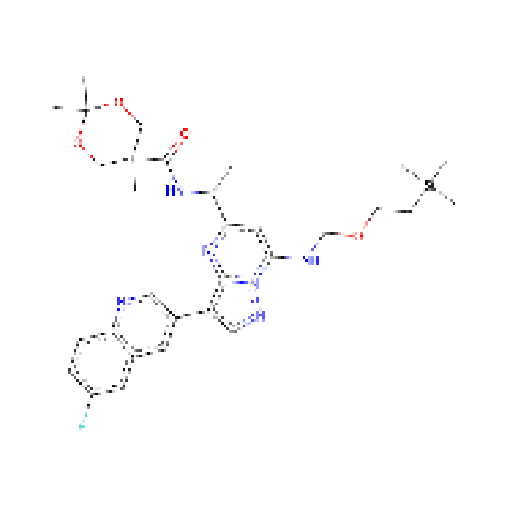 CC(NC(=O)C1(C)COC(C)(C)OC1)c1cc(NCOCC[Si](C)(C)C)n2ncc(-c3cnc4ccc(F)cc4c3)c2n1